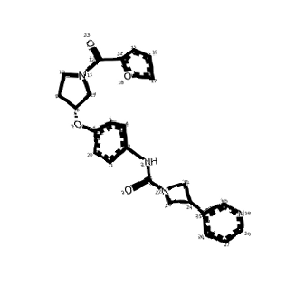 O=C(Nc1ccc(O[C@@H]2CCN(C(=O)c3ccco3)C2)cc1)N1CC(c2cccnc2)C1